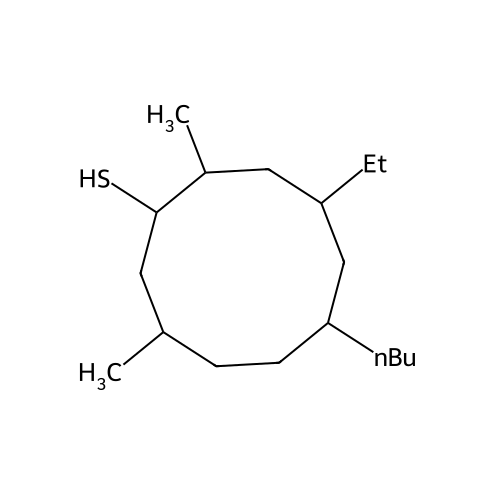 CCCCC1CCC(C)CC(S)C(C)CC(CC)C1